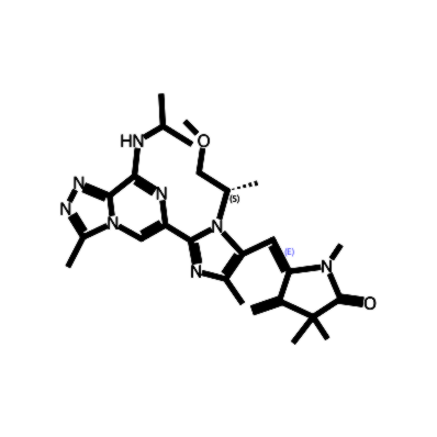 C=C1/C(=C\c2c(C)nc(-c3cn4c(C)nnc4c(NC(C)C)n3)n2[C@@H](C)COC)N(C)C(=O)C1(C)C